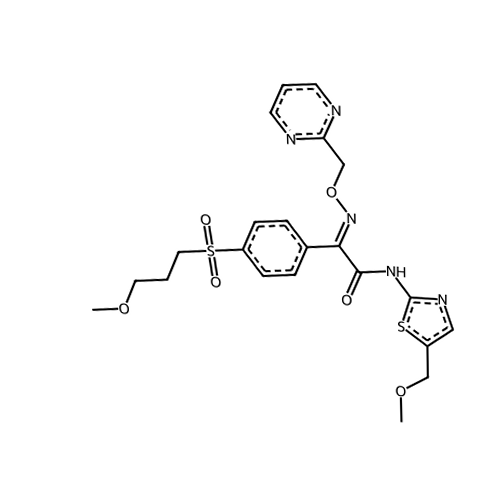 COCCCS(=O)(=O)c1ccc(/C(=N\OCc2ncccn2)C(=O)Nc2ncc(COC)s2)cc1